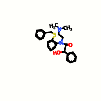 CN(C)CCN(C(=O)C(O)c1ccccc1)c1ccccc1SCc1ccccc1